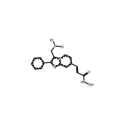 CCN(CC)Cc1c(-c2ccccc2)nc2cc(C=CC(=O)NO)ccn12